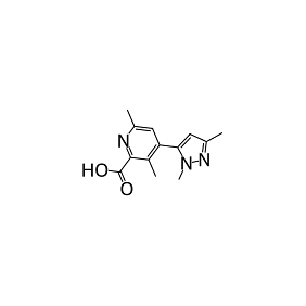 Cc1cc(-c2cc(C)nn2C)c(C)c(C(=O)O)n1